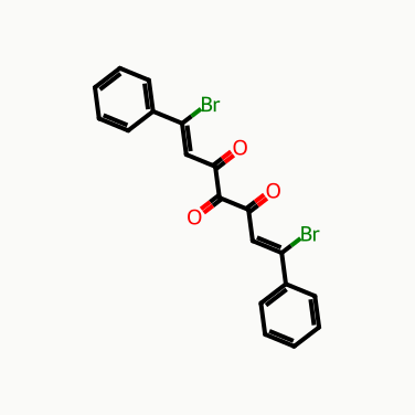 O=C(C=C(Br)c1ccccc1)C(=O)C(=O)C=C(Br)c1ccccc1